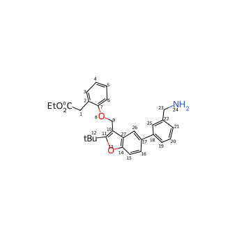 CCOC(=O)Cc1ccccc1OCc1c(C(C)(C)C)oc2ccc(-c3cccc(CN)c3)cc12